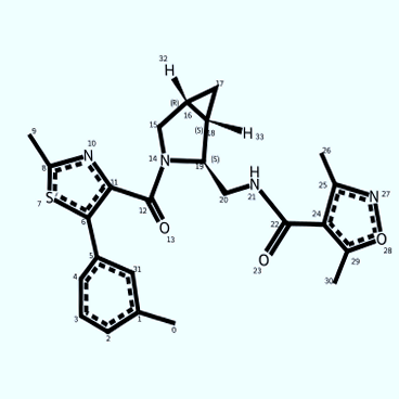 Cc1cccc(-c2sc(C)nc2C(=O)N2C[C@@H]3C[C@@H]3[C@H]2CNC(=O)c2c(C)noc2C)c1